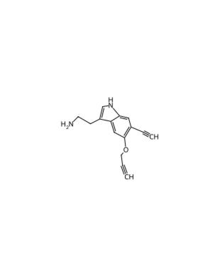 C#CCOc1cc2c(CCN)c[nH]c2cc1C#C